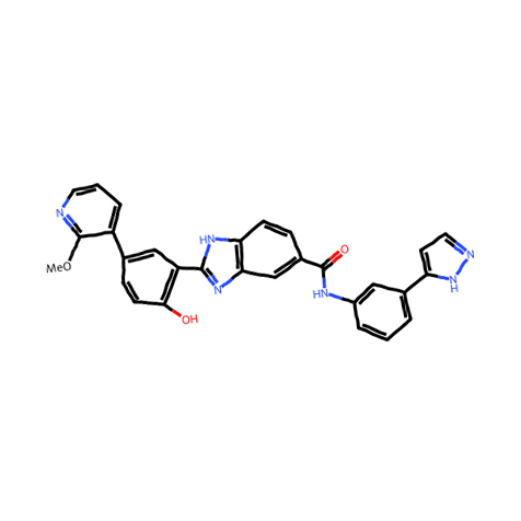 COc1ncccc1-c1ccc(O)c(-c2nc3cc(C(=O)Nc4cccc(-c5ccn[nH]5)c4)ccc3[nH]2)c1